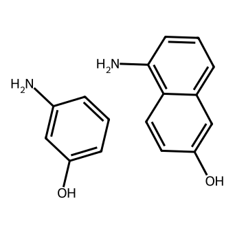 Nc1cccc(O)c1.Nc1cccc2cc(O)ccc12